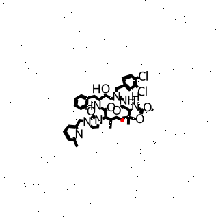 CCC(C)C(C(=O)NC(Cc1ccccc1)C(O)CN(Cc1ccc(Cl)c(Cl)c1)NC(=O)C(NC(=O)OC)C(C)(C)C)N1CCN(Cc2cccc(C)n2)C1=O